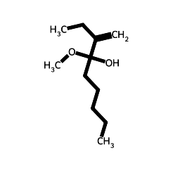 C=C(CC)C(O)(CCCCC)OC